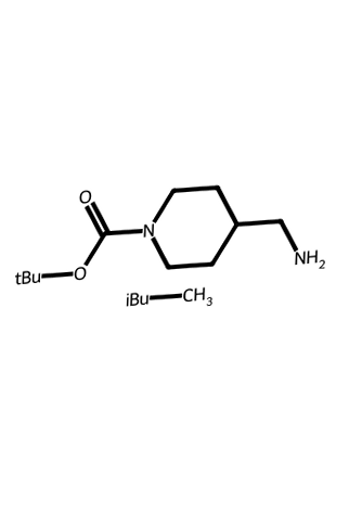 CC(C)(C)OC(=O)N1CCC(CN)CC1.CCC(C)C